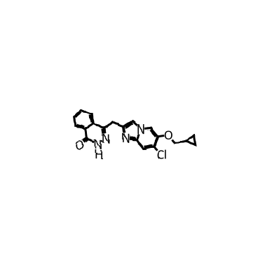 O=c1[nH]nc(Cc2cn3cc(OCC4CC4)c(Cl)cc3n2)c2ccccc12